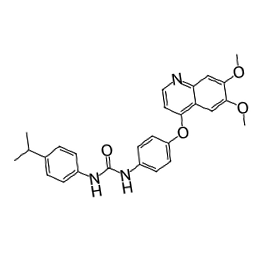 COc1cc2nccc(Oc3ccc(NC(=O)Nc4ccc(C(C)C)cc4)cc3)c2cc1OC